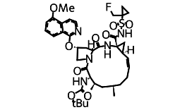 COc1cccc2c(O[C@@H]3C[C@H]4C(=O)N[C@]5(C(=O)NS(=O)(=O)C6(CF)CC6)C[C@H]5/C=C\CC[C@@H](C)C[C@@H](C)[C@H](NC(=O)OC(C)(C)C)C(=O)N4C3)nccc12